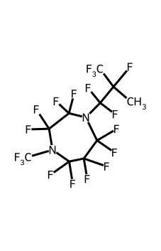 CC(F)(C(F)(F)F)C(F)(F)N1C(F)(F)C(F)(F)N(C(F)(F)F)C(F)(F)C(F)(F)C1(F)F